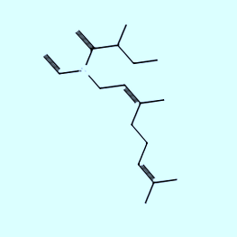 C=CN(C/C=C(/C)CCC=C(C)C)C(=C)C(C)CC